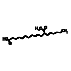 CCCCCCC(CC=CCCCCCCCC(=O)O)C(C)=O